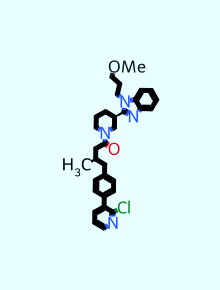 COCCCn1c([C@@H]2CCCN(C(=O)C[C@H](C)Cc3ccc(-c4cccnc4Cl)cc3)C2)nc2ccccc21